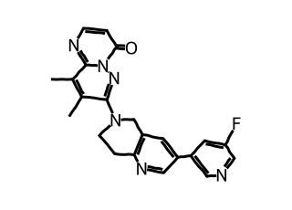 Cc1c(N2CCc3ncc(-c4cncc(F)c4)cc3C2)nn2c(=O)ccnc2c1C